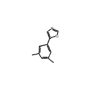 Cc1cc(C)cc(-c2cnco2)c1